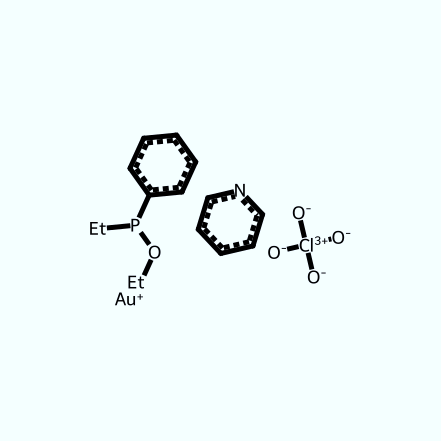 CCOP(CC)c1ccccc1.[Au+].[O-][Cl+3]([O-])([O-])[O-].c1ccncc1